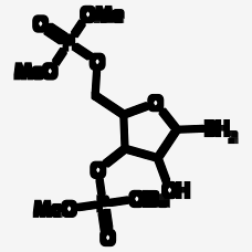 BC1OC(COP(=O)(OC)OC)C(OP(=O)(OC)OCC(C)C)C1O